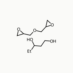 C(OCC1CO1)C1CO1.CCC(O)CCO